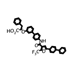 O=C(Nc1ccc(-c2cccc(O[C@H](Cc3ccccc3)C(=O)O)c2)cc1)c1cc(-c2ccc(-c3ccccc3)cc2)oc1C(F)(F)F